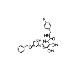 O=C(NCc1ccc(F)cc1)c1nc([C@@H]2C[C@@H](OCc3ccccc3)CN2)nc(O)c1O